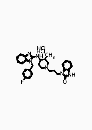 CC1CN(CCCn2c(=O)[nH]c3ccccc32)CCC1Nc1nc2ccccc2n1Cc1ccc(F)cc1.Cl.Cl